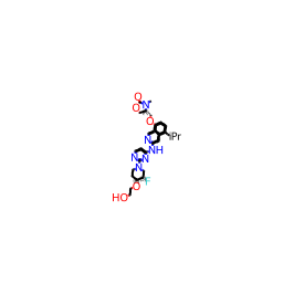 CC(C)c1ccc(OC[C@@H]2COC(=O)N2C)c2cnc(Nc3ccnc(N4CC[C@@H](OCCO)[C@@H](F)C4)n3)cc12